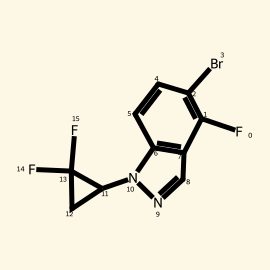 Fc1c(Br)ccc2c1cnn2C1CC1(F)F